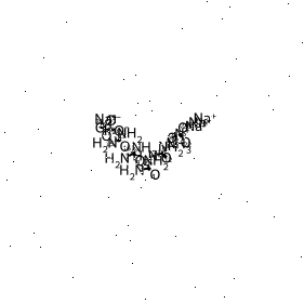 N.NC(N)=O.NC(N)=O.NC(N)=O.NC(N)=O.O=P([O-])([O-])[O-].O=[N+]([O-])[O-].[Na+].[Na+].[Na+].[Na+]